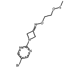 CSOCCON=C1CN(c2ncc(Br)cn2)C1